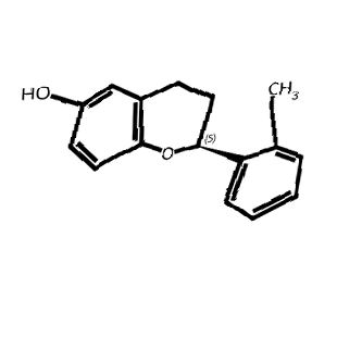 Cc1ccccc1[C@@H]1CCc2cc(O)ccc2O1